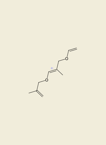 C=COC/C(C)=C/OCC(=C)C